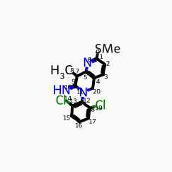 CSc1ccc2c(n1)C(C)C(=N)N(c1c(Cl)cccc1Cl)C2